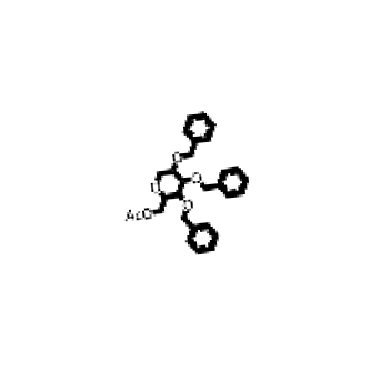 CC(=O)OCC1OCC(OCc2ccccc2)C(OCc2ccccc2)C1OCc1ccccc1